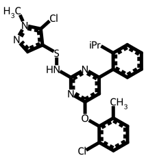 Cc1cccc(Cl)c1Oc1cc(-c2ccccc2C(C)C)nc(NSc2cnn(C)c2Cl)n1